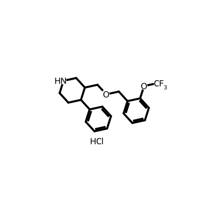 Cl.FC(F)(F)Oc1ccccc1COCC1CNCCC1c1ccccc1